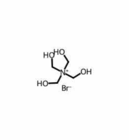 OC[N+](CO)(CO)CO.[Br-]